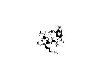 CCCCN(C)C(OC(=O)N(C)C)OC(=O)N(C)C.Nc1ncccc1O